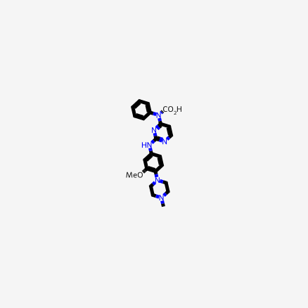 COc1cc(Nc2nccc(N(C(=O)O)c3ccccc3)n2)ccc1N1CCN(C)CC1